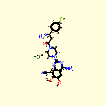 COc1cc2c(N)nc(N3CCN(C(=O)CC(N)c4ccc(F)cc4)CC3)nc2c(C#N)c1OC.Cl